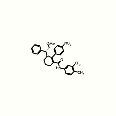 COC[C@@H](c1ccccc1)N1CCCC(C(=O)Nc2ccc(C)c(C(F)(F)F)c2)=C1c1ccc([N+](=O)[O-])cc1